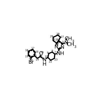 CN(C)c1nc(NC2CCC(NC(=O)Cc3ccccc3Br)CC2)nc2c1CCCC2